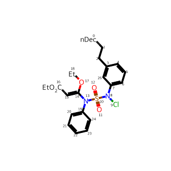 CCCCCCCCCCCCc1cccc(N(Cl)S(=O)(=O)N(C(=CC(=O)OCC)OCC)c2ccccc2)c1